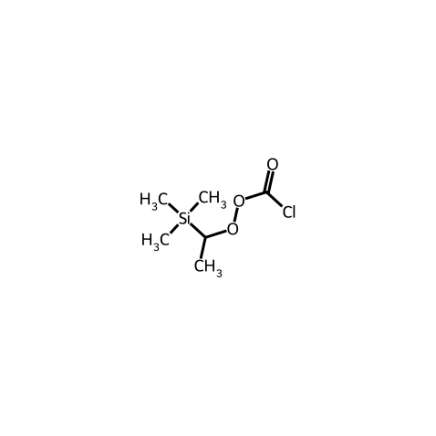 CC(OOC(=O)Cl)[Si](C)(C)C